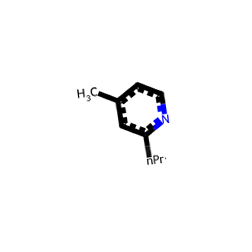 CC[CH]c1cc(C)ccn1